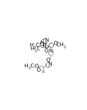 CCOC(=O)CC(c1ccnc(OCC2CCN(c3cc(OC)ccc3C(=O)N(CC(C)(C)C)c3cnccn3)CC2)c1)C1CC1